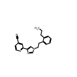 CCCc1ccccc1CCn1cnc(-c2cc(C#N)ccn2)c1